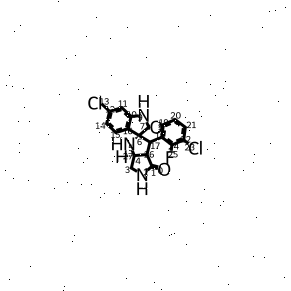 O=C1NC[C@H]2N[C@]3(C(=O)Nc4cc(Cl)ccc43)C(c3cccc(Cl)c3F)C12